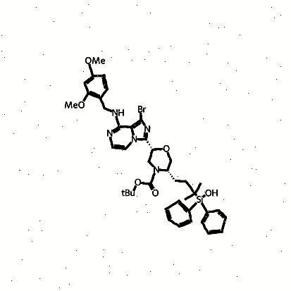 COc1ccc(CNc2nccn3c([C@H]4CN(C(=O)OC(C)(C)C)[C@@H](CCC(C)(C)[Si](O)(c5ccccc5)c5ccccc5)CO4)nc(Br)c23)c(OC)c1